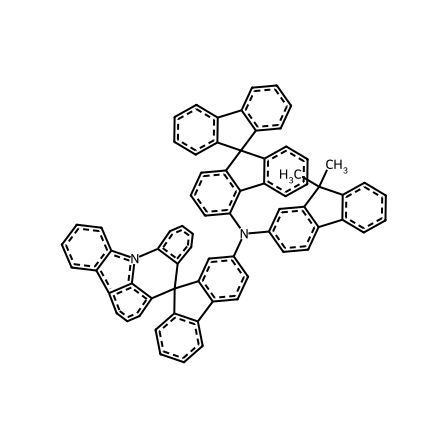 CC1(C)c2ccccc2-c2ccc(N(c3ccc4c(c3)C3(c5ccccc5-4)c4ccccc4-n4c5ccccc5c5cccc3c54)c3cccc4c3-c3ccccc3C43c4ccccc4-c4ccccc43)cc21